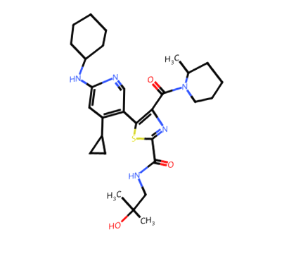 CC1CCCCN1C(=O)c1nc(C(=O)NCC(C)(C)O)sc1-c1cnc(NC2CCCCC2)cc1C1CC1